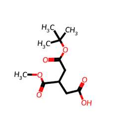 COC(=O)C(CC(=O)O)CC(=O)OC(C)(C)C